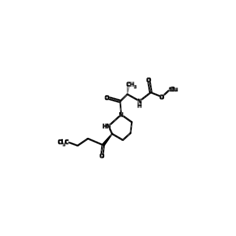 C[C@H](NC(=O)OC(C)(C)C)C(=O)N1CCC[C@@H](C(=O)CCC(Cl)(Cl)Cl)N1